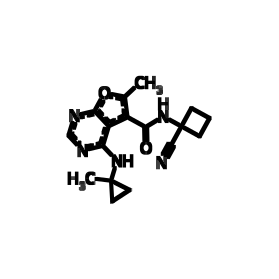 Cc1oc2ncnc(NC3(C)CC3)c2c1C(=O)NC1(C#N)CCC1